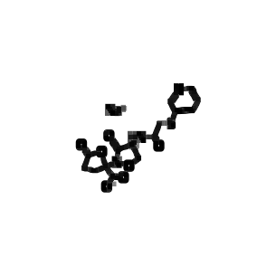 O=C(CSc1cccnc1)N[C@H]1CON(C2(C(=O)[O-])CCC(=O)O2)C1=O.[Na+]